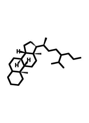 CCCC(CC[C@H](C)[C@H]1CC[C@H]2[C@@H]3CCC4CCCC[C@]4(C)[C@H]3CC[C@]12C)C(C)C